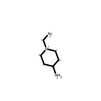 CC(=O)CN1CCC(N)CC1